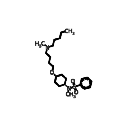 CCCCCN(C)CCCCO[C@H]1CC[C@H](N(C)S(=O)(=O)c2ccccc2)CC1